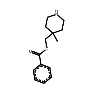 CC1(COC(=O)c2ccccc2)CCNCC1